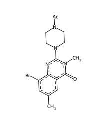 CC(=O)N1CCN(c2nc3c(Br)cc(C)cc3c(=O)n2C)CC1